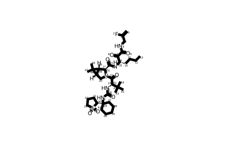 C=C(F)CNC(=O)C(=O)[C@H](CCCC)NC(=O)[C@@H]1[C@@H]2[C@H](CN1C(=O)[C@@H](NC(=O)NC1([C@H]3CCCS3(=O)=O)CCCCC1)C(C)(C)C)C2(C)C